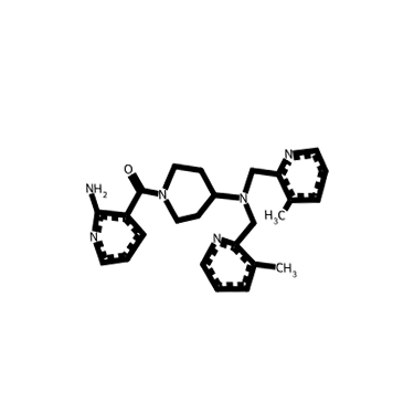 Cc1cccnc1CN(Cc1ncccc1C)C1CCN(C(=O)c2cccnc2N)CC1